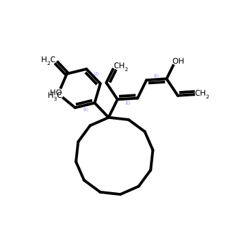 C=C/C(O)=C\C=C(/C=C)C1(C(/C=C\C(=C)O)=C/C)CCCCCCCCCCC1